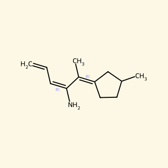 C=C/C=C(N)\C(C)=C1/CCC(C)C1